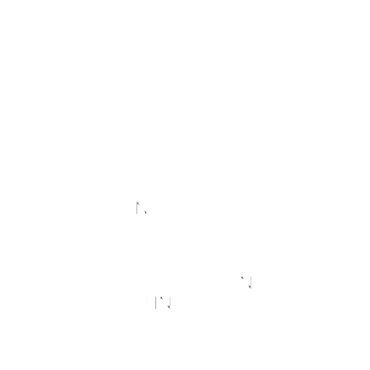 c1nc2c([nH]1)N=C(C1CCC1)C2